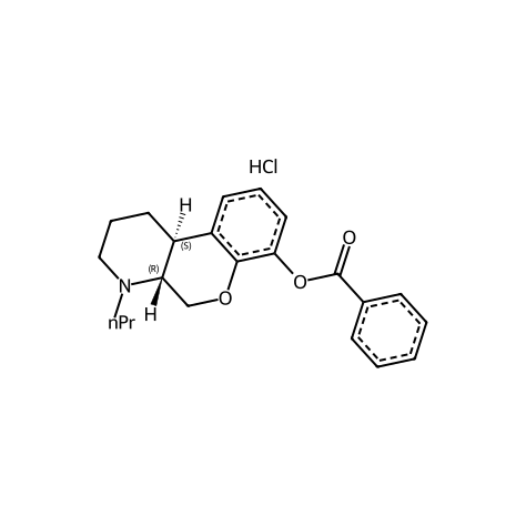 CCCN1CCC[C@H]2c3cccc(OC(=O)c4ccccc4)c3OC[C@@H]21.Cl